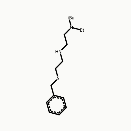 CCC(C)N(CC)CCNCCSCc1ccccc1